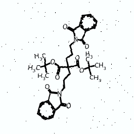 CC(C)(C)OC(=O)C(CCCN1C(=O)c2ccccc2C1=O)(CCCN1C(=O)c2ccccc2C1=O)C(=O)OC(C)(C)C